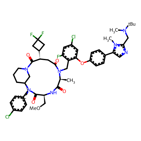 COC[C@@H]1NC(=O)[C@H](C)N(Cc2c(F)cc(Cl)cc2Oc2ccc(-c3cnc(CN(C)C(C)(C)C)n3C)cc2)C(=O)C[C@@H](C2CC(F)(F)C2)C(=O)N2CCC[C@@](Cc3ccc(Cl)cc3)(C2)N(C)C1=O